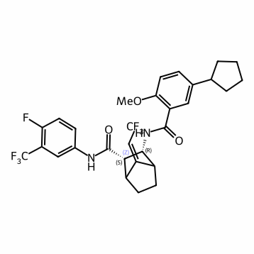 COc1ccc(C2CCCC2)cc1C(=O)N[C@@H]1C2CCC(/C2=C/C(F)(F)F)[C@@H]1C(=O)Nc1ccc(F)c(C(F)(F)F)c1